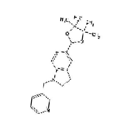 CC1(C)OC(c2ccc3c(c2)CCN3Cc2cccnc2)OC1(C)C